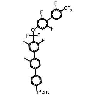 CCCCCc1ccc(-c2ccc(-c3cc(F)c(C(F)(F)Oc4cc(F)c(-c5ccc(C(F)(F)F)c(F)c5)c(F)c4)c(F)c3)c(F)c2)cc1